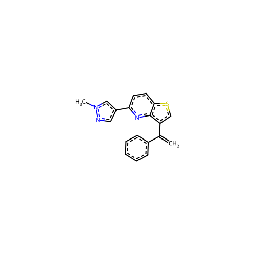 C=C(c1ccccc1)c1csc2ccc(-c3cnn(C)c3)nc12